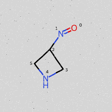 O=NC1CNC1